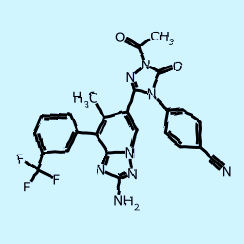 CC(=O)n1nc(-c2cn3nc(N)nc3c(-c3cccc(C(F)(F)F)c3)c2C)n(-c2ccc(C#N)cc2)c1=O